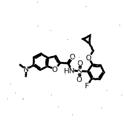 CN(C)c1ccc2cc(C(=O)NS(=O)(=O)c3c(F)cccc3OCC3CC3)oc2c1